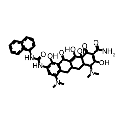 CN(C)c1cc(NC(=O)Nc2cccc3ccccc23)c(O)c2c1CC1CC3C(N(C)C)C(O)=C(C(N)=O)C(=O)C3(O)C(O)=C1C2=O